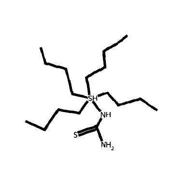 CCCC[SH](CCCC)(CCCC)(CCCC)NC(N)=S